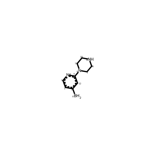 Bc1ccnc(N2CCNCC2)c1